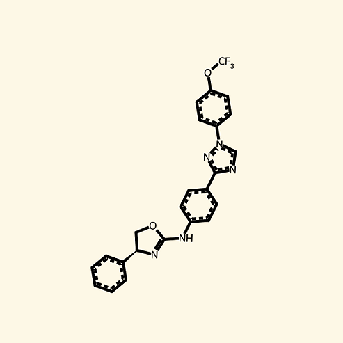 FC(F)(F)Oc1ccc(-n2cnc(-c3ccc(NC4=N[C@@H](c5ccccc5)CO4)cc3)n2)cc1